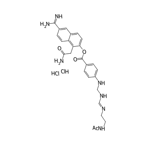 CC(=O)NCCN=CNCNc1ccc(C(=O)Oc2ccc3cc(C(=N)N)ccc3c2CC(N)=O)cc1.Cl.Cl